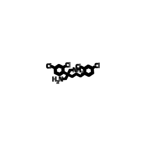 NCC(CN)(CCCc1ccc(Cl)cc1Cl)c1ccc(Cl)cc1Cl